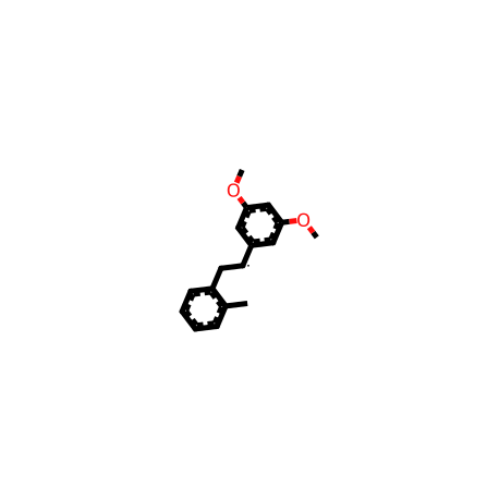 COc1cc([CH]Cc2ccccc2C)cc(OC)c1